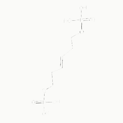 O=P(O)(O)OCCC=CCCOP(=O)(O)O